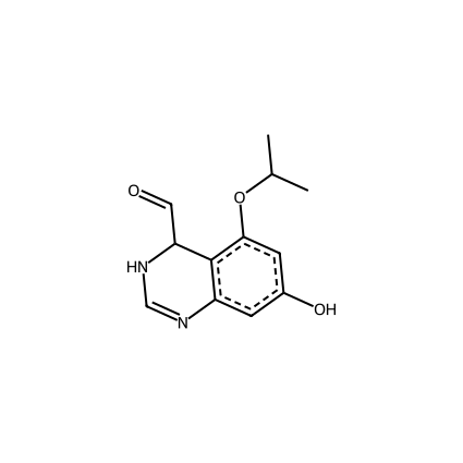 CC(C)Oc1cc(O)cc2c1C(C=O)NC=N2